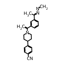 C=N/N=C(\C)c1cccc(C(=C)N2CCC(c3ccc(C#N)cc3)CC2)c1